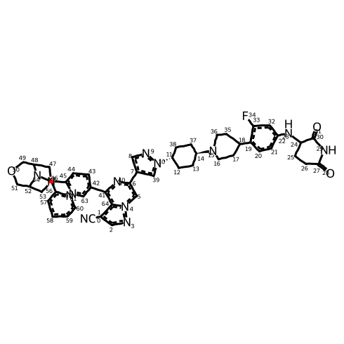 N#Cc1cnn2cc(-c3cnn([C@H]4CC[C@H](N5CCC(c6ccc(NC7CCC(=O)NC7=O)cc6F)CC5)CC4)c3)nc(-c3ccc(N4CC5COCC(C4)N5Cc4ccccn4)nc3)c12